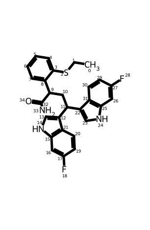 CCSc1ccccc1C(CC(c1c[nH]c2cc(F)ccc12)c1c[nH]c2cc(F)ccc12)C(N)=O